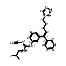 CC(C)CNC(=NC#N)Nc1cccc(/C(=C\CCCn2cnnn2)c2cccnc2)c1